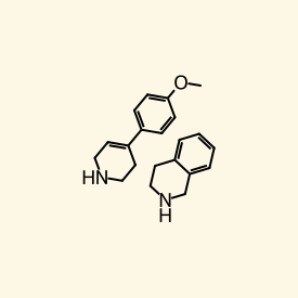 COc1ccc(C2=CCNCC2)cc1.c1ccc2c(c1)CCNC2